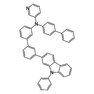 c1ccc(-c2ccc(N(c3cccnc3)c3cccc(-c4cccc(-c5ccc6c7ccccc7n(-c7ccccc7)c6c5)c4)c3)cc2)cc1